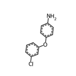 Nc1ccc(Oc2cccc(Cl)c2)cc1